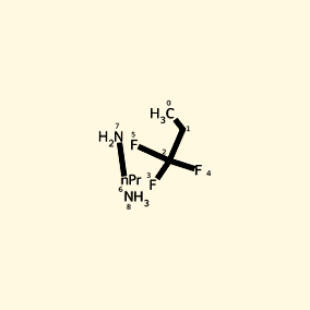 CCC(F)(F)F.CCCN.N